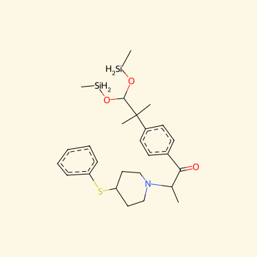 C[SiH2]OC(O[SiH2]C)C(C)(C)c1ccc(C(=O)C(C)N2CCC(Sc3ccccc3)CC2)cc1